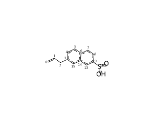 C=CCc1ccc2ccc(S(=O)O)cc2c1